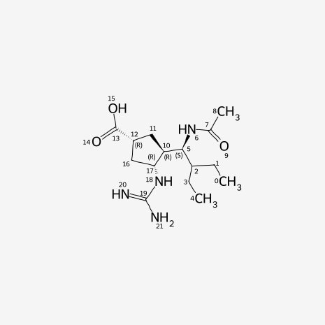 CCC(CC)[C@H](NC(C)=O)[C@@H]1C[C@@H](C(=O)O)C[C@H]1NC(=N)N